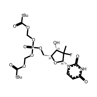 CC(C)(C)C(=O)OCOP(=O)(OCOC(=O)C(C)(C)C)OC[C@H]1O[C@@H](n2ccc(=O)[nH]c2=O)C(C)(F)[C@H]1O